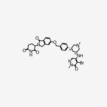 CN1C[C@H](Nc2cnn(C)c(=O)c2Br)C[C@H](c2ccc(COc3ccc4c(c3)CN(C3CCC(=O)NC3=O)C4=O)cc2)C1